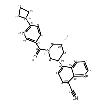 C[C@@H]1C[C@H](c2ccc(C#N)c3ncccc23)CN(C(=O)c2ccc(N3CCC3)nc2)C1